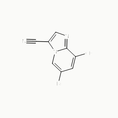 Cc1cc(Br)cn2c(C#N)cnc12